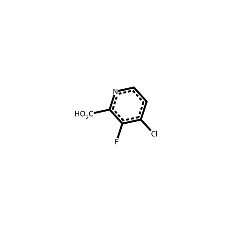 O=C(O)c1nccc(Cl)c1F